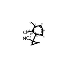 Cc1cccc(C2(C#N)CC2)c1Cl